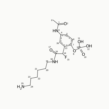 CC(=O)Nc1ccc(OP(=O)(O)O)c(C(F)C(=O)NCCCCCCN)c1